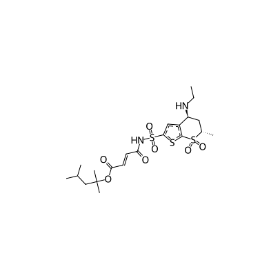 CCN[C@H]1C[C@H](C)S(=O)(=O)c2sc(S(=O)(=O)NC(=O)/C=C/C(=O)OC(C)(C)CC(C)C)cc21